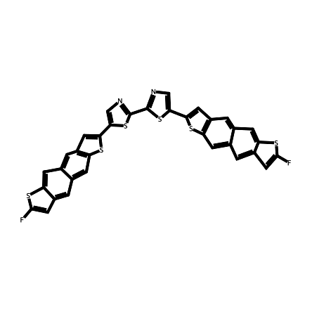 Fc1cc2cc3cc4sc(-c5cnc(-c6ncc(-c7cc8cc9cc%10sc(F)cc%10cc9cc8s7)s6)s5)cc4cc3cc2s1